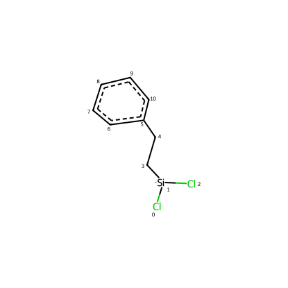 Cl[Si](Cl)CCc1ccccc1